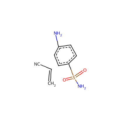 C=CC#N.Nc1ccc(S(N)(=O)=O)cc1